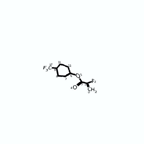 C=C(F)C(=O)OC1CCC(C(F)(F)F)CC1